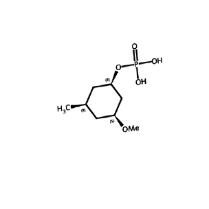 CO[C@H]1C[C@@H](C)C[C@@H](OP(=O)(O)O)C1